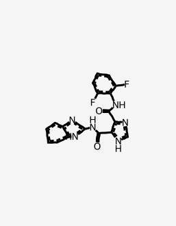 O=C(Nc1c(F)cccc1F)c1nc[nH]c1C(=O)Nc1nc2ccccc2[nH]1